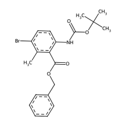 Cc1c(Br)ccc(NC(=O)OC(C)(C)C)c1C(=O)OCc1ccccc1